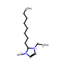 CCCCCCCCCCCCCCCCCC1N(CCC)C=CN1CCCCCCCCCCC